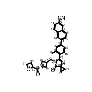 Cc1cc(-c2ccc3cc(C#N)ccc3c2)ccc1C1=NC2(CC2)C(=O)N1CC1CN(C(=O)C2CCO2)C1